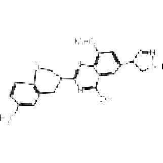 COc1cc(C2C=NNC2)cc2c(O)nc(C3COc4ccc(C)cc4C3)nc12